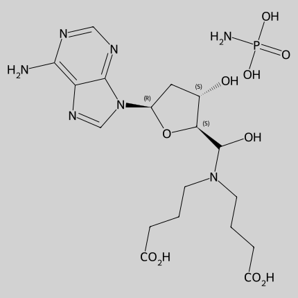 NP(=O)(O)O.Nc1ncnc2c1ncn2[C@H]1C[C@H](O)[C@@H](C(O)N(CCCC(=O)O)CCCC(=O)O)O1